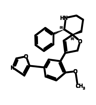 COc1ccc(-c2cnco2)cc1C1=C[C@@]2(CCCN[C@H]2c2ccccc2)OC1